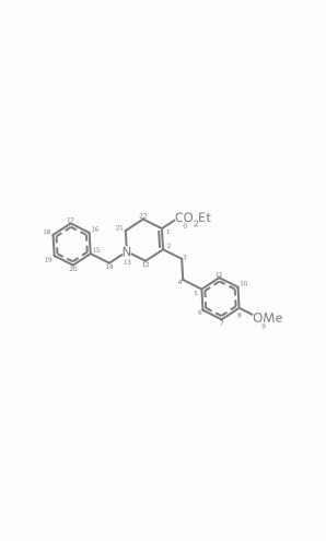 CCOC(=O)C1=C(CCc2ccc(OC)cc2)CN(Cc2ccccc2)CC1